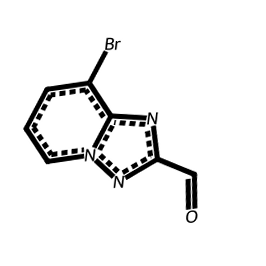 O=Cc1nc2c(Br)cccn2n1